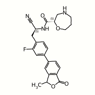 CC1OC(=O)c2ccc(-c3ccc(C[C@@H](C#N)NC(=O)[C@@H]4CNCCCO4)c(F)c3)cc21